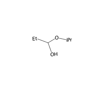 CCC(O)OC(C)C